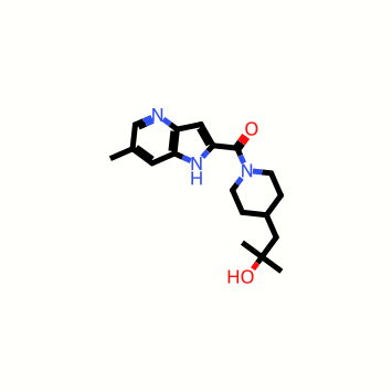 Cc1cnc2cc(C(=O)N3CCC(CC(C)(C)O)CC3)[nH]c2c1